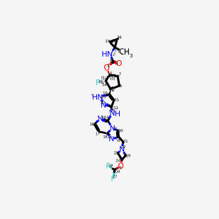 CC1(NC(=O)O[C@H]2CC[C@@H](c3cc(Nc4nccc5nc(CN6CC(OC(F)F)C6)cn45)n[nH]3)[C@@H]2F)CC1